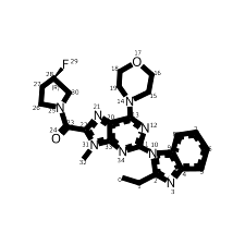 CCc1nc2ccccc2n1-c1nc(N2CCOCC2)c2nc(C(=O)N3CC[C@@H](F)C3)n(C)c2n1